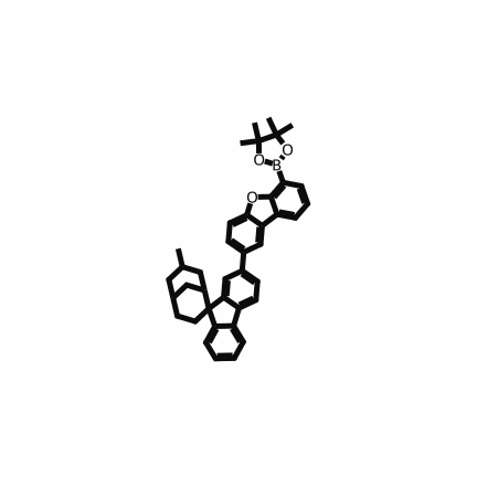 CC1CC2CCC3(c4ccccc4-c4ccc(-c5ccc6oc7c(B8OC(C)(C)C(C)(C)O8)cccc7c6c5)cc43)C(C1)C2